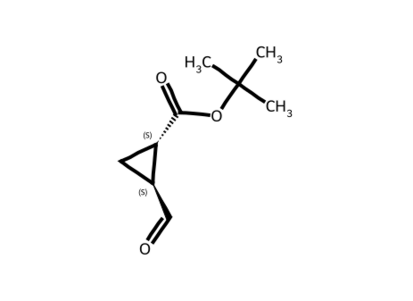 CC(C)(C)OC(=O)[C@H]1C[C@@H]1C=O